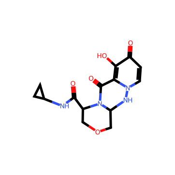 O=C(NC1CC1)C1COCC2Nn3ccc(=O)c(O)c3C(=O)N21